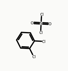 Clc1ccccc1Cl.O=S(=O)(Cl)Cl